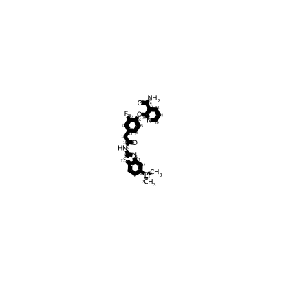 CP(C)c1ccc2sc(NC(=O)Cc3ccc(Oc4ncccc4C(N)=O)c(F)c3)nc2c1